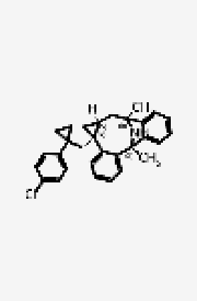 C[C@]12N[C@](C)(C[C@@H]3C[C@]3(CC3(c4ccc(Cl)cc4)CC3)c3ccccc31)c1ccccc12